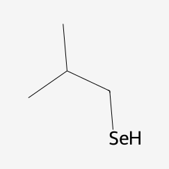 CC(C)C[SeH]